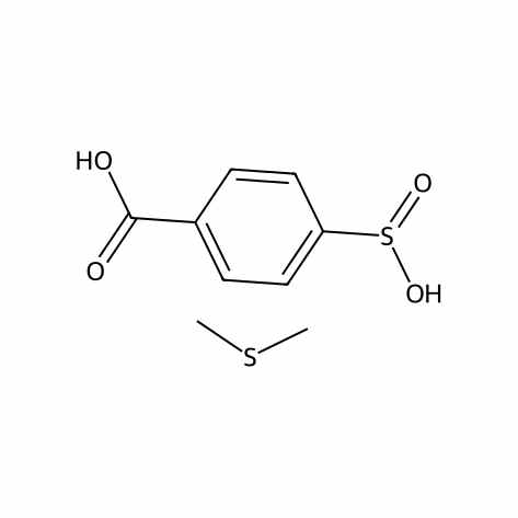 CSC.O=C(O)c1ccc(S(=O)O)cc1